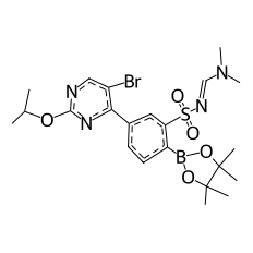 CC(C)Oc1ncc(Br)c(-c2ccc(B3OC(C)(C)C(C)(C)O3)c(S(=O)(=O)N=CN(C)C)c2)n1